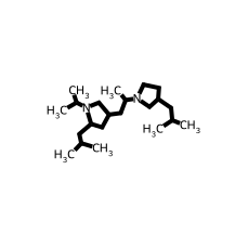 CC(C)CC1CCN(C(C)CC2CC(CC(C)C)N(C(C)C)C2)C1